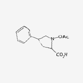 CC(=O)ON1CC(c2ccccc2)CC1C(=O)O